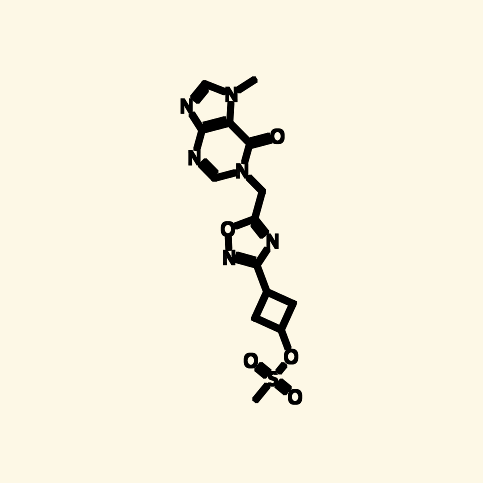 Cn1cnc2ncn(Cc3nc(C4CC(OS(C)(=O)=O)C4)no3)c(=O)c21